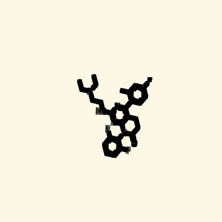 CCN(CC)CCNc1nc(-c2ccc(F)cc2C)c2c(n1)N(c1c(F)cccc1F)C(=O)CC2